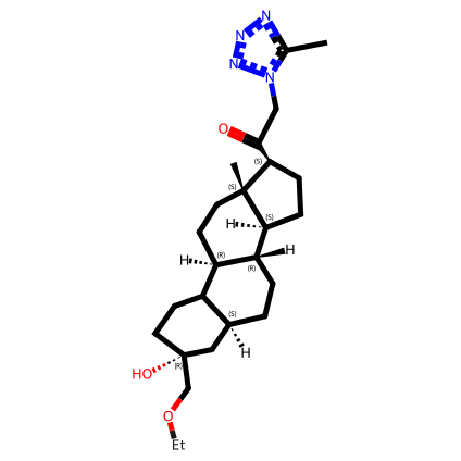 CCOC[C@@]1(O)CCC2[C@@H](CC[C@@H]3[C@@H]2CC[C@]2(C)[C@@H](C(=O)Cn4nnnc4C)CC[C@@H]32)C1